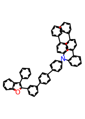 c1ccc(-c2ccc(-c3ccccc3N(c3ccc(-c4ccccc4)cc3)c3ccc(-c4ccc(-c5cccc(-c6oc7ccccc7c6-c6ccccc6)c5)cc4)cc3)cc2)cc1